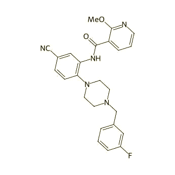 COc1ncccc1C(=O)Nc1cc(C#N)ccc1N1CCN(Cc2cccc(F)c2)CC1